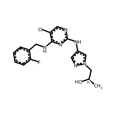 C[C@@H](O)Cn1cc(Nc2ncc(Cl)c(NCc3ccccc3F)n2)cn1